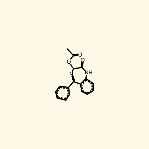 CC(=O)O[C@@H]1N=C(c2ccccc2)c2ccccc2NC1=O